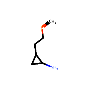 C=PCCC1CC1N